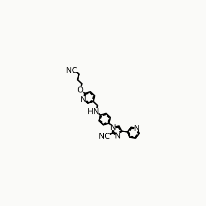 N#CCCCOc1ccc(CNc2ccc(-n3cc(-c4cccnc4)nc3C#N)cc2)cn1